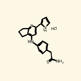 Cl.NC(=O)Cc1ccc(Nc2cc(-c3ccc[nH]3)nc3c2CCC3)cc1